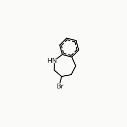 BrC1CCc2ccccc2NC1